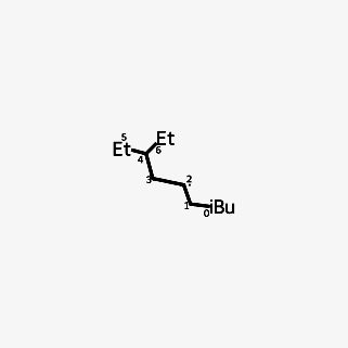 CCC(C)C[CH]CC(CC)CC